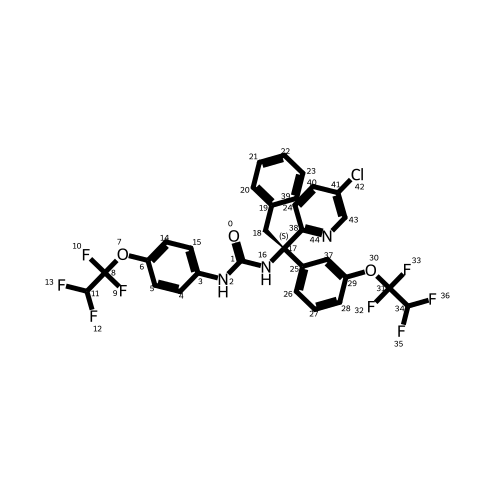 O=C(Nc1ccc(OC(F)(F)C(F)F)cc1)N[C@@](Cc1ccccc1)(c1cccc(OC(F)(F)C(F)F)c1)c1ccc(Cl)cn1